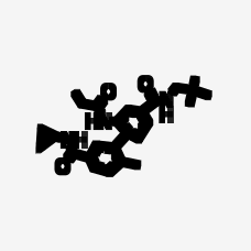 CCC(=O)Nc1cc(C(=O)NCC(C)(C)C)ccc1-c1cc(C(=O)NC2CC2)ccc1C